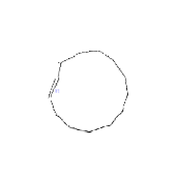 [CH]1/C=C/CCCCCCCCCC1